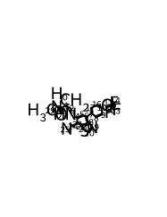 C=C(CNc1cc(-c2ccc(OC(F)(F)F)cc2)c2ncsc2c1C#N)C(=O)NC